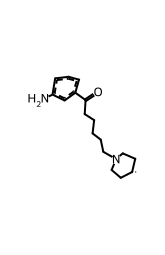 Nc1cccc(C(=O)CCCCCN2CC[CH]CC2)c1